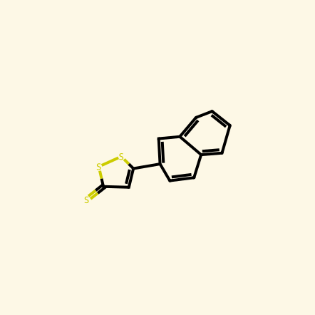 S=c1cc(-c2ccc3ccccc3c2)ss1